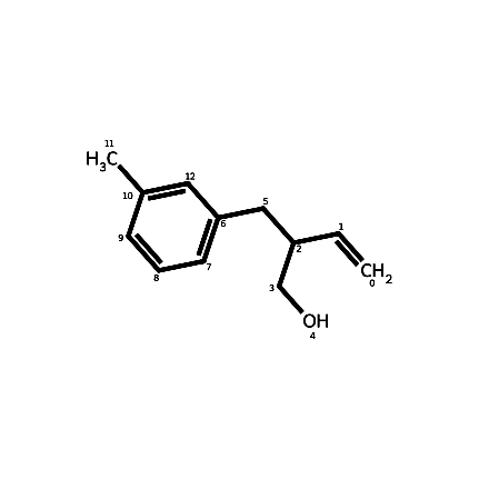 C=CC(CO)Cc1cccc(C)c1